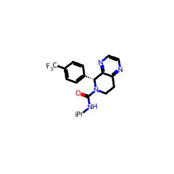 CC(C)NC(=O)N1CCc2nccnc2[C@H]1c1ccc(C(F)(F)F)cc1